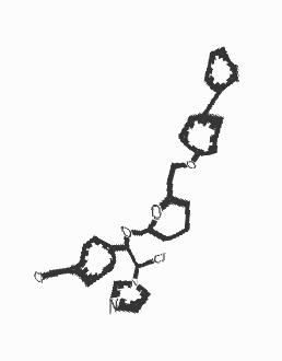 Clc1ccc(C(OC2CCCC(COc3ccc(-c4ccccc4)cc3)O2)C(Cl)n2ccnc2)cc1